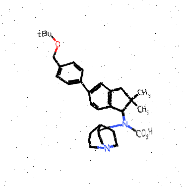 CC(C)(C)OCc1ccc(-c2ccc3c(c2)CC(C)(C)C3N(C(=O)O)C2CN3CCC2CC3)cc1